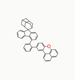 c1ccc(-c2cccc3c2-c2ccccc2C32C3CC4CC(C3)CC2C4)c(-c2ccc3c(c2)-c2cccc4cccc(c24)O3)c1